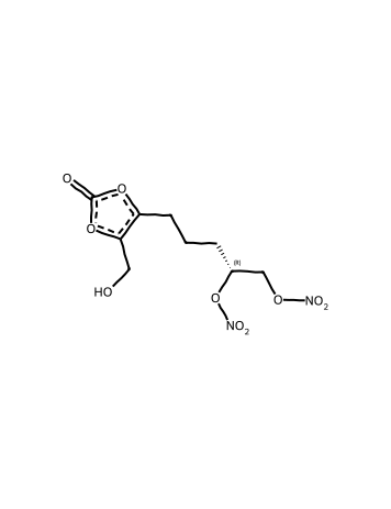 O=c1oc(CO)c(CCC[C@H](CO[N+](=O)[O-])O[N+](=O)[O-])o1